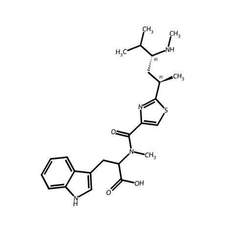 CN[C@H](C[C@@H](C)c1nc(C(=O)N(C)C(Cc2c[nH]c3ccccc23)C(=O)O)cs1)C(C)C